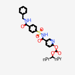 CCCC(CCC)OC(=O)Oc1ccc(C(=O)NS(=O)(=O)c2ccc(C(=O)NCc3ccccc3)cc2)cn1